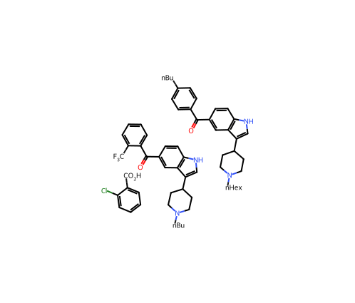 CCCCCCN1CCC(c2c[nH]c3ccc(C(=O)c4ccc(CCCC)cc4)cc23)CC1.CCCCN1CCC(c2c[nH]c3ccc(C(=O)c4ccccc4C(F)(F)F)cc23)CC1.O=C(O)c1ccccc1Cl